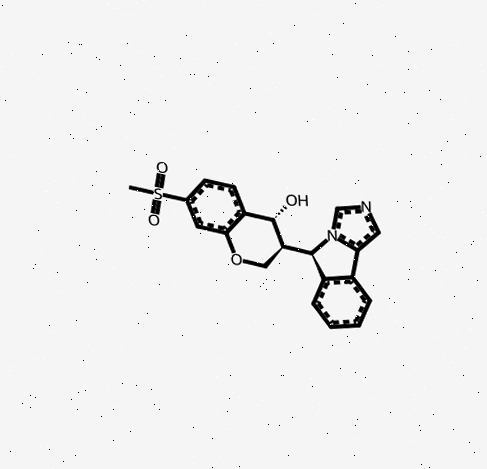 CS(=O)(=O)c1ccc2c(c1)OC[C@H]([C@@H]1c3ccccc3-c3cncn31)[C@H]2O